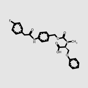 CN(C(=O)OCc1ccc(NC(=O)Cc2ccc(F)cc2)cc1)[C@@H](COc1ccccc1)C(=O)O